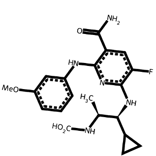 COc1cccc(Nc2nc(N[C@@H](C3CC3)[C@H](C)NC(=O)O)c(F)cc2C(N)=O)c1